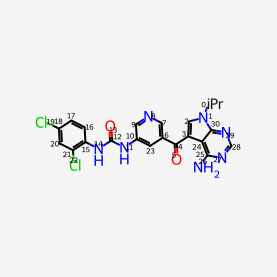 CC(C)n1cc(C(=O)c2cncc(NC(=O)Nc3ccc(Cl)cc3Cl)c2)c2c(N)ncnc21